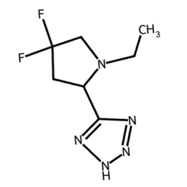 CCN1CC(F)(F)CC1c1nn[nH]n1